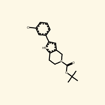 CC(C)(C)OC(=O)N1CCc2[nH]c(-c3cccc(Cl)c3)cc2C1